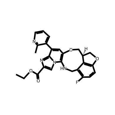 CCOC(=O)c1cn2c3c(cc(-c4cccnc4C)c2n1)OC[C@H]1COc2ccc(F)c(c21)CN3